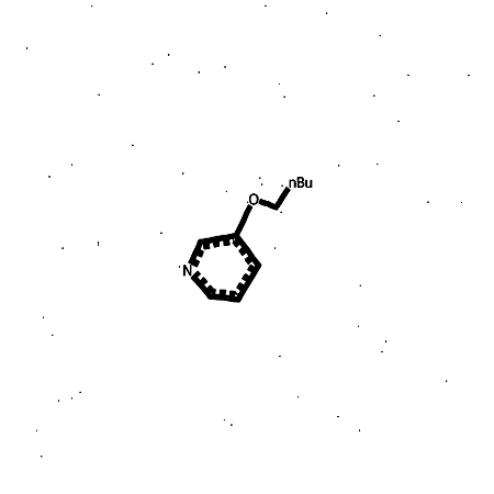 CCCCCOc1cccnc1